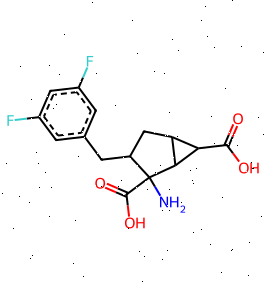 NC1(C(=O)O)C(Cc2cc(F)cc(F)c2)CC2C(C(=O)O)C21